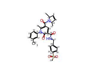 Cc1c(C(=O)N2C(C)C=CC2C)cc(C(=O)NCc2ccc(S(C)(=O)=O)cc2)c(=O)n1-c1cccc(C(F)(F)F)c1